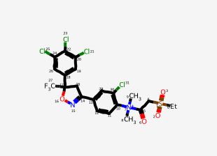 CCS(=O)(=O)CC(=O)[N+](C)(C)c1ccc(C2=NOC(c3cc(Cl)c(Cl)c(Cl)c3)(C(F)(F)F)C2)cc1Cl